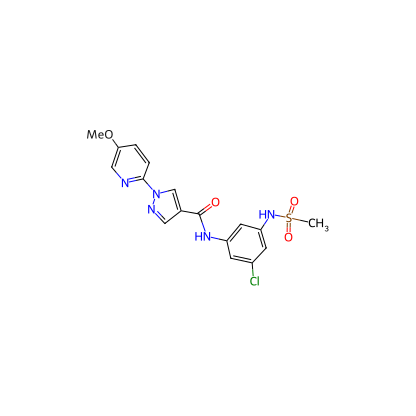 COc1ccc(-n2cc(C(=O)Nc3cc(Cl)cc(NS(C)(=O)=O)c3)cn2)nc1